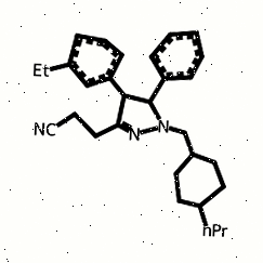 CCCC1CCC(CN2N=C(CCC#N)C(c3cccc(CC)c3)C2c2ccccc2)CC1